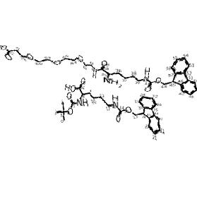 CC(C)(C)OC(=O)NC(CCCCNC(=O)OCC1c2ccccc2-c2ccccc21)C(=O)O.NC(CCCCNC(=O)OCC1c2ccccc2-c2ccccc21)C(=O)NCCOCCOCCOCCC(=O)O